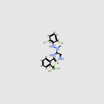 C=C(NC(C=N)N(C)Nc1c(F)cccc1F)c1ccccc1C(F)(F)F